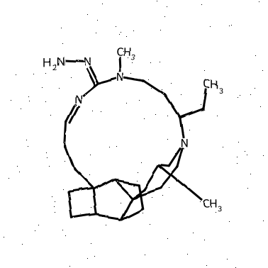 CCC1CCN(C)C(=N/N)/N=C\CCC23CCC2C2CCC3C23CCN1CC(C)C3